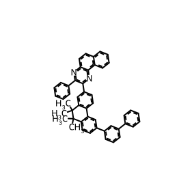 CC1(C)c2ccc(-c3cccc(-c4ccccc4)c3)cc2-c2ccc(-c3nc4c(ccc5ccccc54)nc3-c3ccccc3)cc2C1(C)C